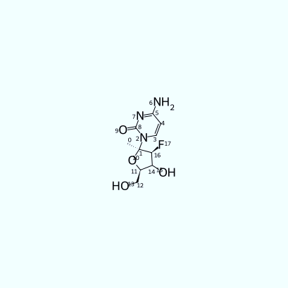 C[C@@]1(n2ccc(N)nc2=O)O[C@H](CO)C(O)[C@@H]1F